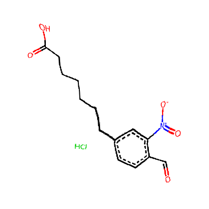 Cl.O=Cc1ccc(CCCCCCC(=O)O)cc1[N+](=O)[O-]